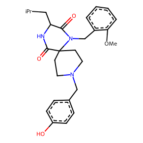 COc1ccccc1CN1C(=O)C(CC(C)C)NC(=O)C12CCN(Cc1ccc(O)cc1)CC2